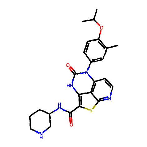 Cc1cc(N2C(=O)Nc3c(C(=O)NC4CCCNC4)sc4nccc2c34)ccc1OC(C)C